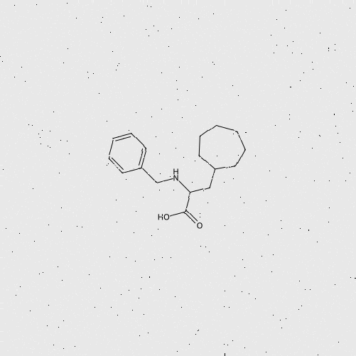 O=C(O)C(CC1CCCCCC1)NCc1ccccc1